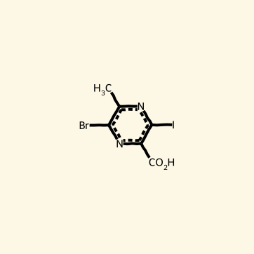 Cc1nc(I)c(C(=O)O)nc1Br